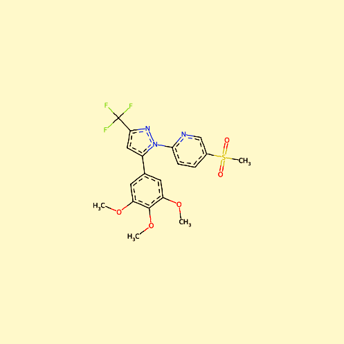 COc1cc(-c2cc(C(F)(F)F)nn2-c2ccc(S(C)(=O)=O)cn2)cc(OC)c1OC